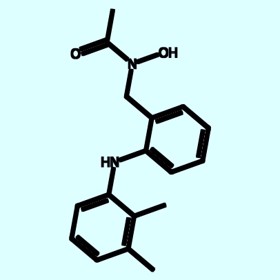 CC(=O)N(O)Cc1ccccc1Nc1cccc(C)c1C